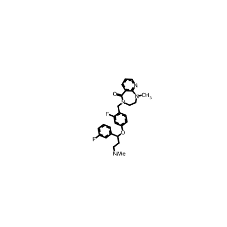 CNCCC(Oc1ccc(CN2CCN(C)c3ncccc3C2=O)c(F)c1)c1cccc(F)c1